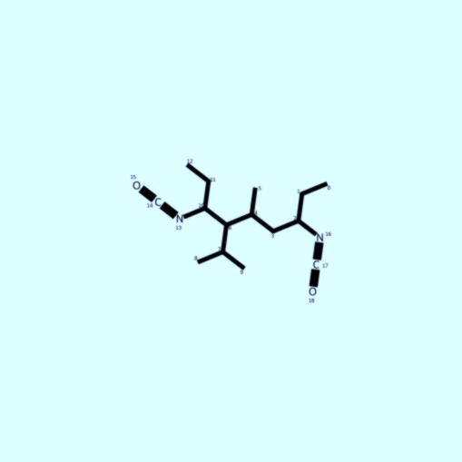 CCC(CC(C)C(C(C)C)C(CC)N=C=O)N=C=O